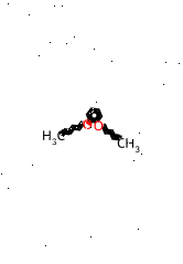 CC=CCCCOC1CCCCC1OCCCC=CC